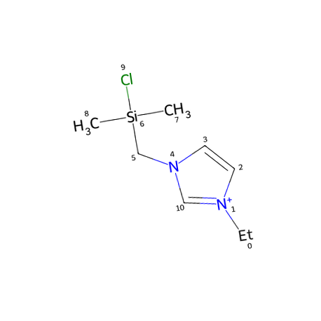 CC[n+]1ccn(C[Si](C)(C)Cl)c1